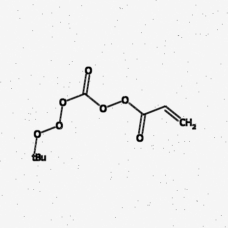 C=CC(=O)OOC(=O)OOOC(C)(C)C